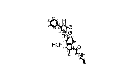 C=CCNCC(=O)N1c2ccc(S(=O)(=O)n3cc(-c4ccccc4)[nH]c3=O)cc2CC1C.Cl